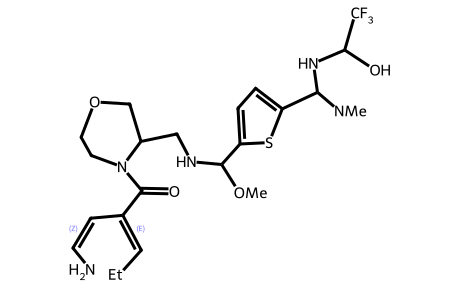 CC/C=C(\C=C/N)C(=O)N1CCOCC1CNC(OC)c1ccc(C(NC)NC(O)C(F)(F)F)s1